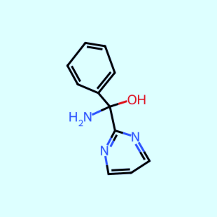 NC(O)(c1ccccc1)c1ncccn1